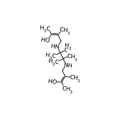 C/C(O)=C(\C)CNC(C)(C)C(C)(C)NC/C(C)=C(/C)O